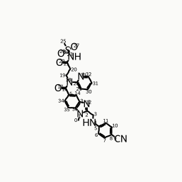 Cn1c(CNc2ccc(C#N)cc2)nc2cc(C(=O)N(CCC(=O)NS(C)(=O)=O)c3ccccn3)ccc21